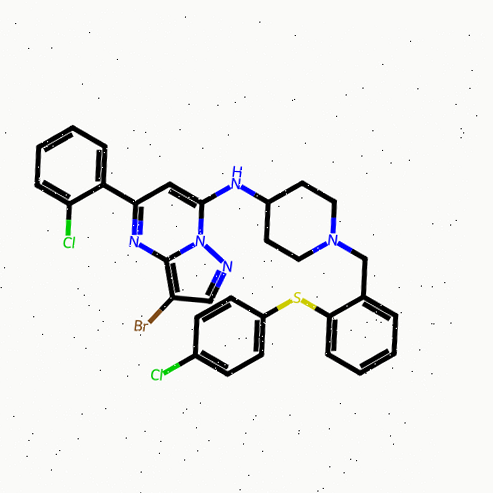 Clc1ccc(Sc2ccccc2CN2CCC(Nc3cc(-c4ccccc4Cl)nc4c(Br)cnn34)CC2)cc1